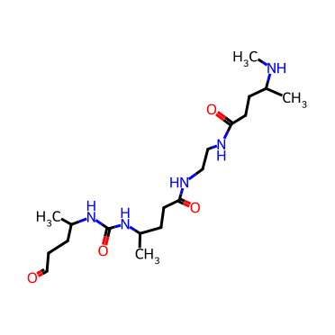 CNC(C)CCC(=O)NCCNC(=O)CCC(C)NC(=O)NC(C)CCC=O